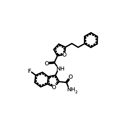 NC(=O)c1oc2ccc(F)cc2c1NC(=O)c1ccc(CCc2ccccc2)o1